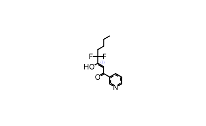 CCCCC(F)(F)/C(O)=C/C(=O)c1cccnc1